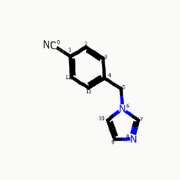 N#Cc1ccc(Cn2[c]ncc2)cc1